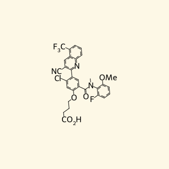 COc1cccc(F)c1N(C)C(=O)c1cc(-c2nc3cccc(C(F)(F)F)c3cc2C#N)c(Cl)cc1OCCCC(=O)O